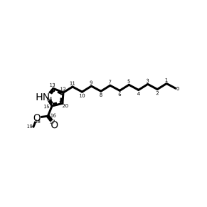 CCCCCCCCCCCCc1c[nH]c(C(=O)OC)c1